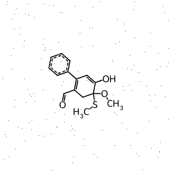 COC1(SC)CC(C=O)=C(c2ccccc2)C=C1O